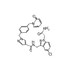 NC(=O)Cn1nc(CNC(=O)c2cnn(Cc3ccc(Cn4ccccc4=O)cc3)c2)c2cc(Cl)ccc21